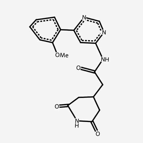 COc1ccccc1-c1cc(NC(=O)CC2CC(=O)NC(=O)C2)ncn1